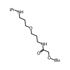 CC(C)NCCCOCCCNC(=O)COC(C)(C)C